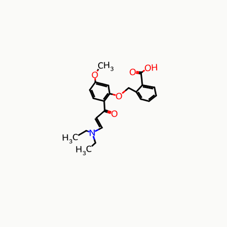 CCN(C=CC(=O)c1ccc(OC)cc1OCc1ccccc1C(=O)O)CC